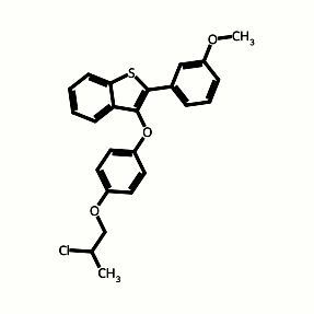 COc1cccc(-c2sc3ccccc3c2Oc2ccc(OCC(C)Cl)cc2)c1